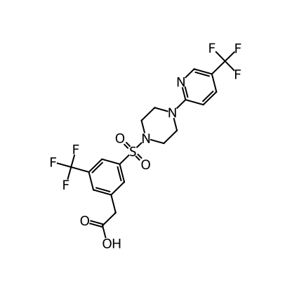 O=C(O)Cc1cc(C(F)(F)F)cc(S(=O)(=O)N2CCN(c3ccc(C(F)(F)F)cn3)CC2)c1